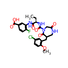 CC[C@@H](NC(=O)N1CC(=O)NCC(Cc2cc(Cl)ccc2OC)C1=O)C(=O)Nc1cc(C(=O)O)ccc1F